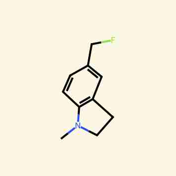 CN1CCc2cc(CF)ccc21